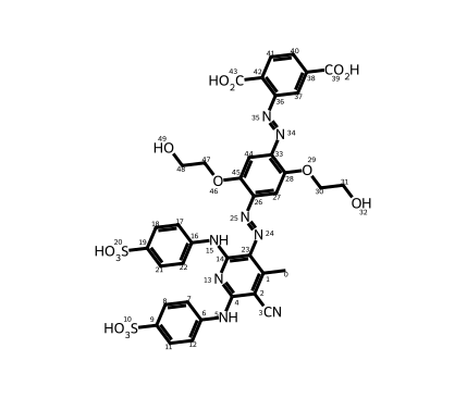 Cc1c(C#N)c(Nc2ccc(S(=O)(=O)O)cc2)nc(Nc2ccc(S(=O)(=O)O)cc2)c1/N=N/c1cc(OCCO)c(/N=N/c2cc(C(=O)O)ccc2C(=O)O)cc1OCCO